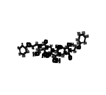 O=C1N(CCOC2CCCCC2)C(O)C(O)N1CN1C(=O)N(CN2C(=O)N(CCOC3CCCCC3)C(O)C2O)C(O)C1O